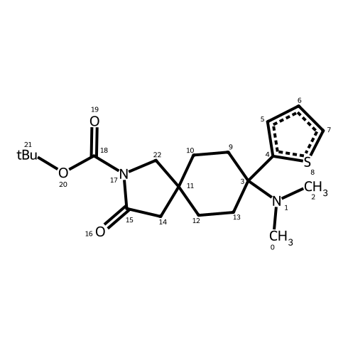 CN(C)C1(c2cccs2)CCC2(CC1)CC(=O)N(C(=O)OC(C)(C)C)C2